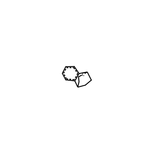 c1ccc2c(c1)C1CCCC2CC1